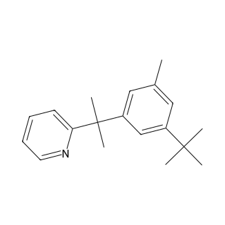 Cc1cc(C(C)(C)C)cc(C(C)(C)c2ccccn2)c1